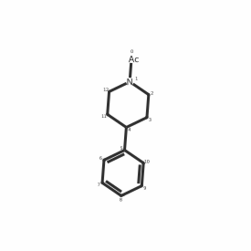 CC(=O)N1CCC(c2cc[c]cc2)CC1